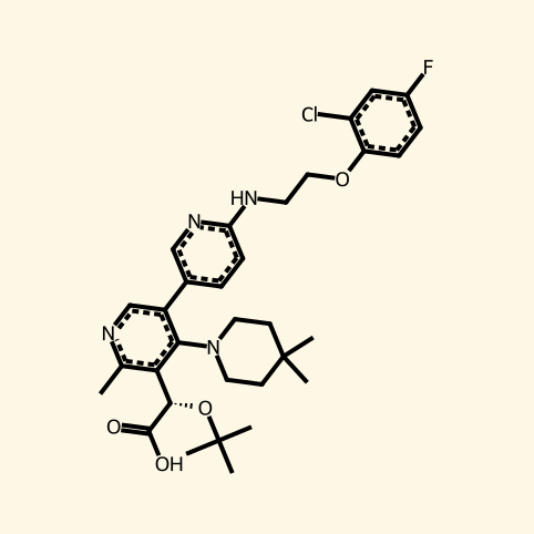 Cc1ncc(-c2ccc(NCCOc3ccc(F)cc3Cl)nc2)c(N2CCC(C)(C)CC2)c1[C@H](OC(C)(C)C)C(=O)O